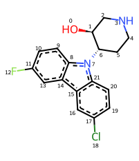 O[C@H]1CNCC[C@@H]1n1c2ccc(F)cc2c2cc(Cl)ccc21